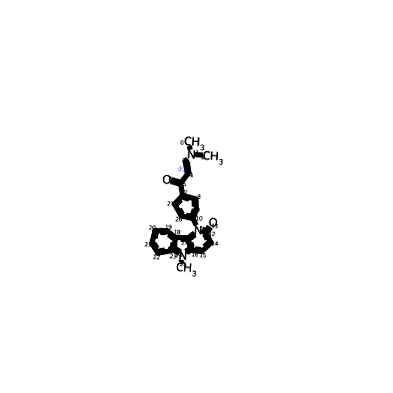 CN(C)/C=C/C(=O)c1ccc(-n2c(=O)ccc3c2c2ccccc2n3C)cc1